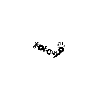 COc1cccc(Cc2csc(N3CCC(S(=O)(=O)c4ccc([N+](=O)[O-])cc4)CC3)n2)c1